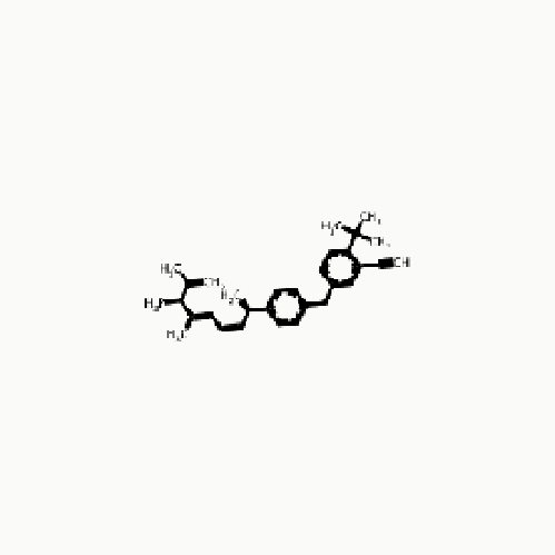 C#Cc1cc(Cc2ccc(C(=C)/C=C\C=C(/C)C(P)C(=C)C)cc2)ccc1C(C)(C)C